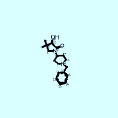 CC1(C)CN(C2CCN(Cc3ccccc3)CC2)C(=O)C1O